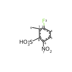 Cc1c(F)ccc([N+](=O)[O-])c1S(=O)(=O)O